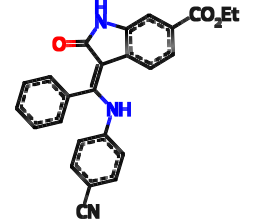 CCOC(=O)c1ccc2c(c1)NC(=O)/C2=C(/Nc1ccc(C#N)cc1)c1ccccc1